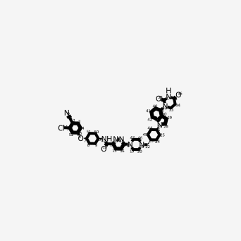 N#Cc1ccc(O[C@H]2CC[C@H](NC(=O)c3ccc(N4CCN(C[C@H]5CC[C@H](n6ccc7c(N8CCC(=O)NC8=O)cccc76)CC5)CC4)nn3)CC2)cc1Cl